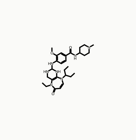 CCC(CC)N1C=CC(=O)N(CC)C2=C1NC(Nc1ccc(C(=O)NC3CCN(C)CC3)cc1OC)NC2